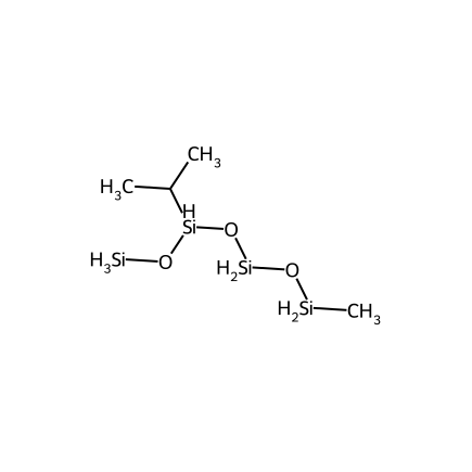 C[SiH2]O[SiH2]O[SiH](O[SiH3])C(C)C